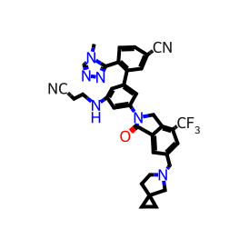 Cn1cnnc1-c1ccc(C#N)cc1-c1cc(NCCC#N)cc(N2Cc3c(cc(CN4CCC5(CC5)C4)cc3C(F)(F)F)C2=O)c1